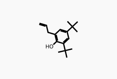 C=CCc1cc(C(C)(C)C)cc(C(C)(C)C)c1O